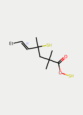 CC/C=C/C(C)(S)CC(C)(C)C(=O)OS